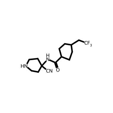 N#CC1(NC(=O)C2CCC(CC(F)(F)F)CC2)CCNCC1